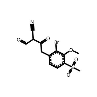 COc1c(S(C)(=O)=O)ccc(CC(=O)C(C#N)C=O)c1Br